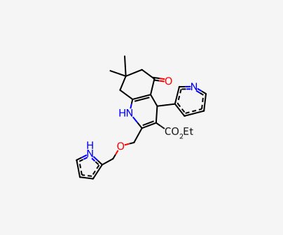 CCOC(=O)C1=C(COCc2ccc[nH]2)NC2=C(C(=O)CC(C)(C)C2)C1c1cccnc1